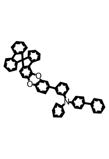 c1ccc(-c2ccc(N(c3ccccc3)c3cccc(-c4ccc5c(c4)Oc4c(ccc6c4-c4ccccc4C64c6ccccc6-c6ccccc64)O5)c3)cc2)cc1